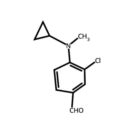 CN(c1ccc(C=O)cc1Cl)C1CC1